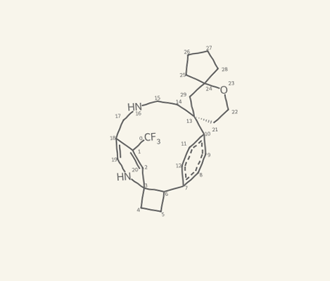 FC(F)(F)C1=CC23CCC2c2ccc(cc2)[C@]2(CCNCC1=CN3)CCOC1(CCCC1)C2